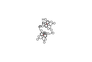 CCc1cc2c(cc1O)OC(=O)CC21CC(=O)Oc2cc(O)c(CC)cc21.CCc1cc2c(cc1OCC1CO1)OC(=O)CC21CC(=O)Oc2cc(OCC3CO3)c(CC)cc21